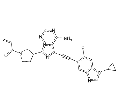 C=CC(=O)N1CCC(c2nc(C#Cc3cc4ncn(C5CC5)c4cc3F)c3c(N)ncnn23)C1